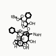 CC(=O)O[C@@]12CO[C@@H]1C[C@H](O)[C@@]1(C)C(=O)[C@H](O)C3=C(C)[C@@H](OC(=O)[C@H](O)[C@@H](NC(=O)OC(C)(C)C)c4ccccc4)C[C@@](O)([C@@H](OC(=O)c4ccccc4)[C@H]21)C3(C)C.[NaH]